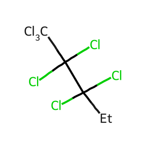 CCC(Cl)(Cl)C(Cl)(Cl)C(Cl)(Cl)Cl